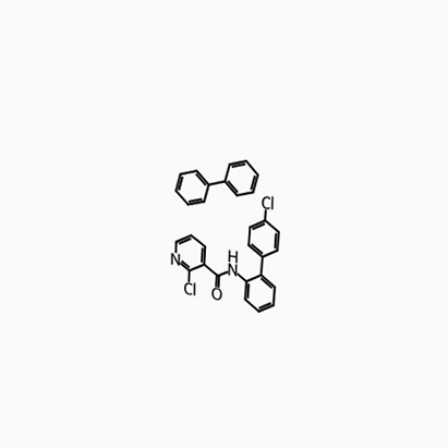 O=C(Nc1ccccc1-c1ccc(Cl)cc1)c1cccnc1Cl.c1ccc(-c2ccccc2)cc1